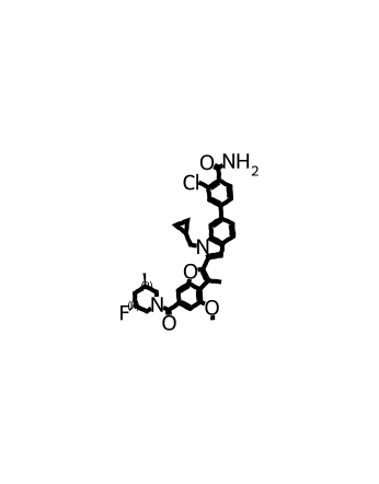 COc1cc(C(=O)N2C[C@H](C)C[C@@H](F)C2)cc2oc(-c3cc4ccc(-c5ccc(C(N)=O)c(Cl)c5)cc4n3CC3CC3)c(C)c12